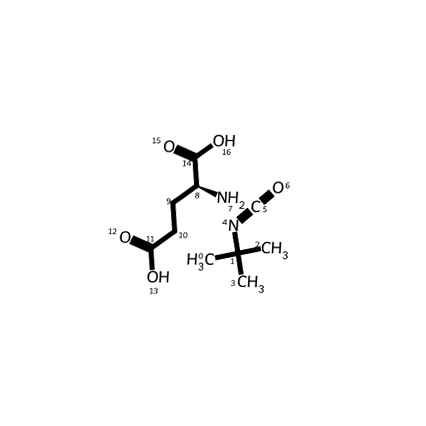 CC(C)(C)N=C=O.N[C@@H](CCC(=O)O)C(=O)O